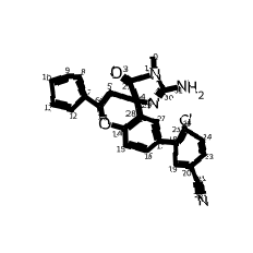 CN1C(=O)C2(CC(c3ccccc3)Oc3ccc(-c4cc(C#N)ccc4Cl)cc32)N=C1N